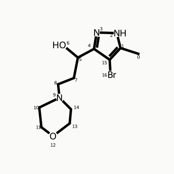 Cc1[nH]nc(C(O)CCN2CCOCC2)c1Br